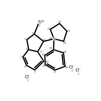 [Cl-].[Cl-].[Cl-].[Ti+3][CH]1CC2C=CC=CC2C1[Si]1(c2ccccc2)CCCC1